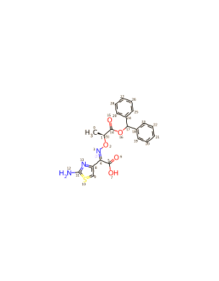 C[C@H](O/N=C(\C(=O)O)c1csc(N)n1)C(=O)OC(c1ccccc1)c1ccccc1